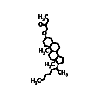 CCCCCC(C)[C@H]1CCC2C3CCC4C[C@@H](OCC(=O)CC)CC[C@]4(C)C3CC[C@@]21C